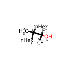 CCCCCCC(C)(CCCCCC)C(O)(CC)C(F)(F)F